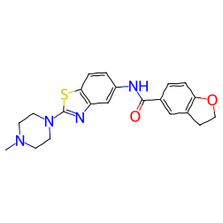 CN1CCN(c2nc3cc(NC(=O)c4ccc5c(c4)CCO5)ccc3s2)CC1